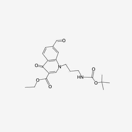 CCOC(=O)c1cn(CCCNC(=O)OC(C)(C)C)c2cc(C=O)ccc2c1=O